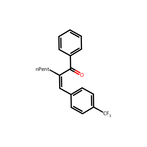 CCCCCC(=Cc1ccc(C(F)(F)F)cc1)C(=O)c1ccccc1